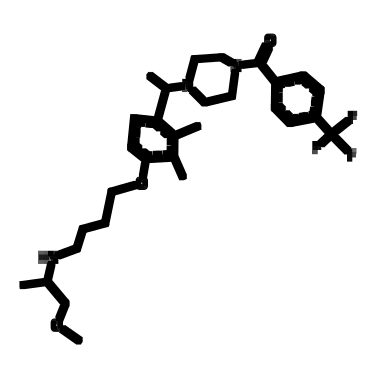 COCC(C)NCCCCOc1ccc(C(C)N2CCN(C(=O)c3ccc(C(F)(F)F)cc3)CC2)c(C)c1C